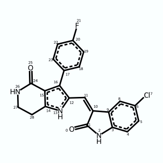 O=C1Nc2ccc(Cl)cc2/C1=C/c1[nH]c2c(c1-c1ccc(F)cc1)C(=O)NCC2